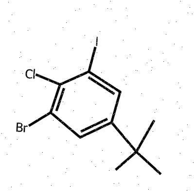 CC(C)(C)c1cc(Br)c(Cl)c(I)c1